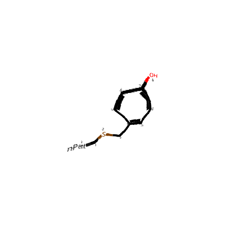 CCCCCCSCc1ccc(O)cc1